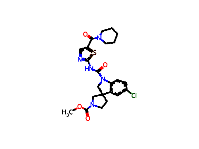 COC(=O)N1CCC2(C1)CN(C(=O)Nc1ncc(C(=O)N3CCCCC3)s1)c1ccc(Cl)cc12